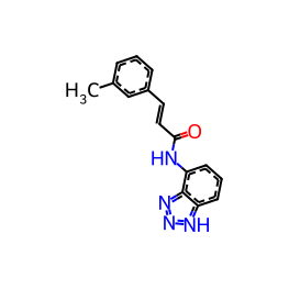 Cc1cccc(C=CC(=O)Nc2cccc3[nH]nnc23)c1